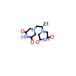 CC[C@@H](CN1CC(=O)NC(=O)C1)N1CC(=O)NC(=O)C1